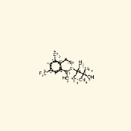 CC(C)(O)C(C)(C)OB(O)c1cc(C(F)(F)F)cc(C(F)(F)F)c1CBr